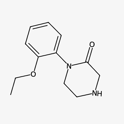 CCOc1ccccc1N1CCNCC1=O